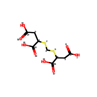 O=C(O)CC(SCSC(CC(=O)O)C(=O)O)C(=O)O